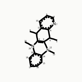 CC1C2=C(C(C)c3ncccc31)N(C)c1ccccc1N2C